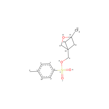 Cc1ccc(S(=O)(=O)OCC23COC(C(F)(F)F)(C2)C3)cc1